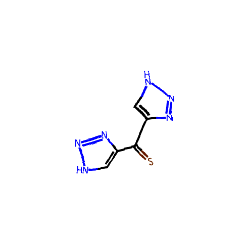 S=C(c1c[nH]nn1)c1c[nH]nn1